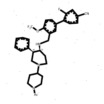 CC(=O)N1CCC(N2CC[C@H](NCc3cc(-c4ccc(C#N)cc4F)ccc3OC(F)(F)F)[C@H](c3ccccc3)C2)CC1